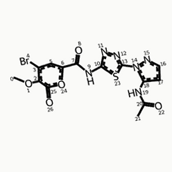 COc1c(Br)cc(C(=O)Nc2nnc(-n3nccc3NC(C)=O)s2)oc1=O